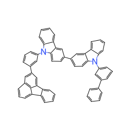 c1ccc(-c2cccc(-n3c4ccccc4c4cc(-c5ccc6c(c5)c5ccccc5n6-c5cccc(-c6cc7c8c(cccc8c6)-c6ccccc6-7)c5)ccc43)c2)cc1